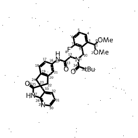 COC(OC)c1cccc(F)c1CN(CC(=O)Nc1ccc2c(c1)CC1(C2)C(=O)Nc2ncccc21)C(=O)C(C)(C)C